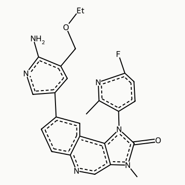 CCOCc1cc(-c2ccc3ncc4c(c3c2)n(-c2ccc(F)nc2C)c(=O)n4C)cnc1N